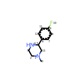 CN1CCNC(c2ccc(F)cc2)C1